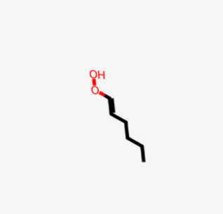 CCCC/C=C/OO